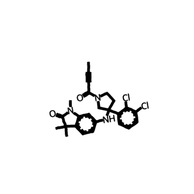 CC#CC(=O)N1CCC(Nc2ccc3c(c2)N(C)C(=O)C3(C)C)(c2cccc(Cl)c2Cl)C1